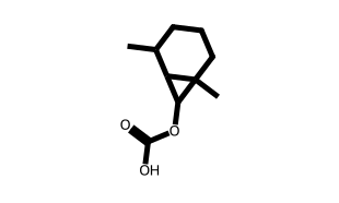 CC1CCCC2(C)C(OC(=O)O)C12